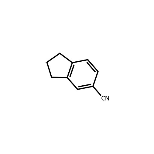 N#Cc1ccc2c(c1)C[CH]C2